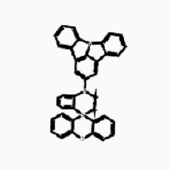 c1ccc2c(c1)Oc1ccccc1[Si]21c2ccccc2N(c2cc3c4ccccc4n4c5ccccc5c(c2)c34)c2ccccc21